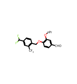 CCCOc1cc(C=O)ccc1OCc1ccc(C(F)F)cc1C(F)(F)F